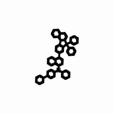 c1ccc(-c2ccc(N(c3ccccc3)c3ccc(-c4ccc5c(c4)C(c4ccccc4)(c4ccccc4)c4ccc6ccccc6c4-5)c4ccccc34)cc2)cc1